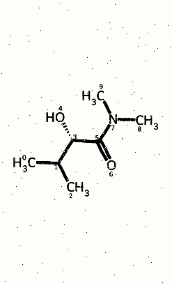 CC(C)[C@H](O)C(=O)N(C)C